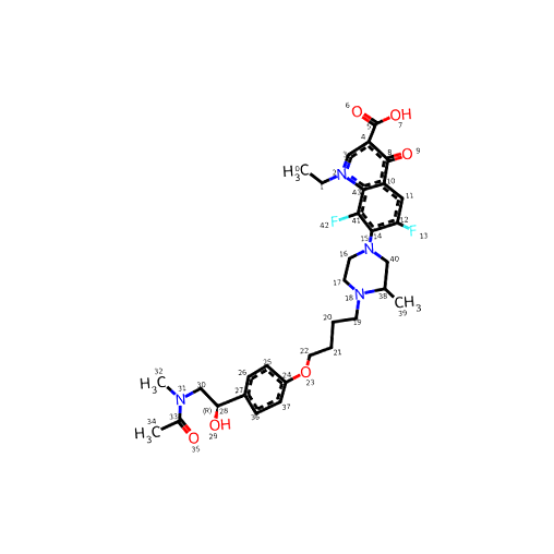 CCn1cc(C(=O)O)c(=O)c2cc(F)c(N3CCN(CCCCOc4ccc([C@@H](O)CN(C)C(C)=O)cc4)C(C)C3)c(F)c21